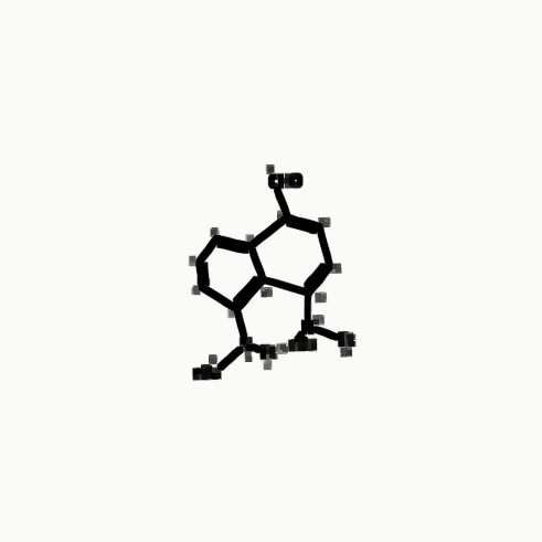 CCCCN(CC)c1cccc2c(C=O)ccc(N(CC)CCCC)c12